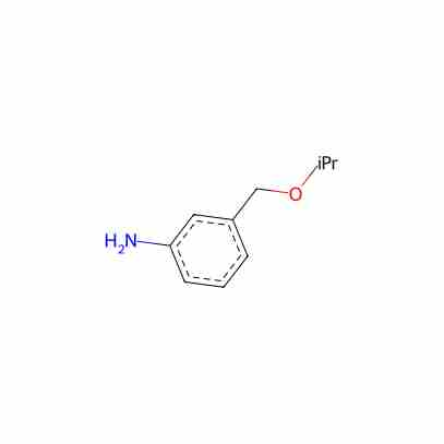 CC(C)OCc1cccc(N)c1